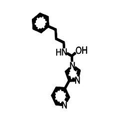 OC(NCCCc1ccccc1)n1cnc(-c2cccnc2)c1